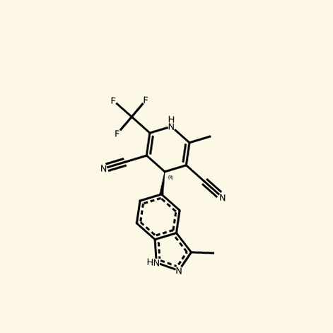 CC1=C(C#N)[C@@H](c2ccc3[nH]nc(C)c3c2)C(C#N)=C(C(F)(F)F)N1